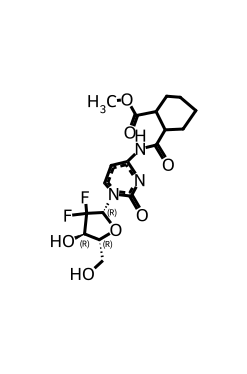 COC(=O)C1CCCCC1C(=O)Nc1ccn([C@@H]2O[C@H](CO)[C@@H](O)C2(F)F)c(=O)n1